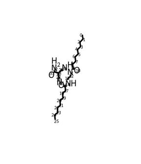 CCCCCCCCCC(=O)NCCNC(=O)CCCCCCCCC.N#CC(C#N)C(N)=O